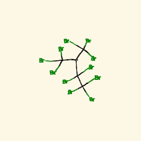 BrC(Br)(Br)[C](C(Br)(Br)Br)C(Br)(Br)C(Br)(Br)Br